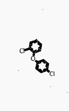 Clc1ccc(Oc2cc[c]cc2Cl)cc1